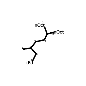 CCCCCCCC[C](CCCCCCCC)CCC(C)CC(C)(C)C